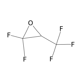 FC(F)(F)C1OC1(F)F